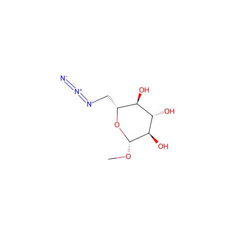 CO[C@@H]1O[C@H](CN=[N+]=[N-])[C@@H](O)[C@H](O)[C@H]1O